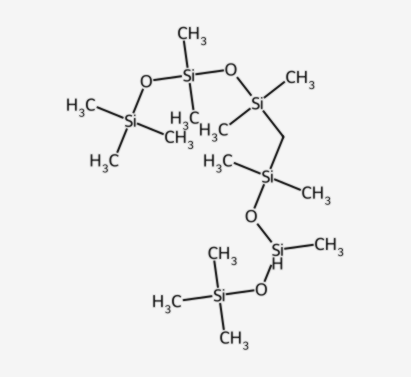 C[SiH](O[Si](C)(C)C)O[Si](C)(C)C[Si](C)(C)O[Si](C)(C)O[Si](C)(C)C